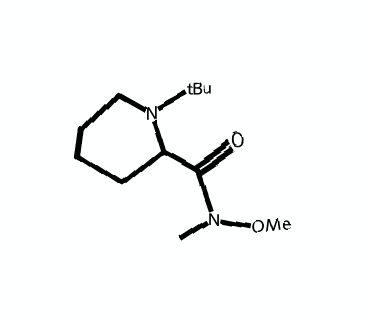 CON(C)C(=O)C1CCCCN1C(C)(C)C